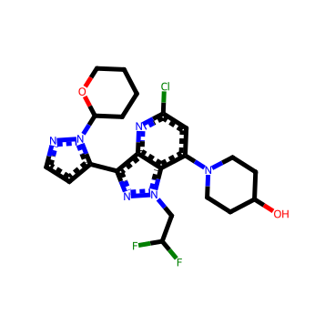 OC1CCN(c2cc(Cl)nc3c(-c4ccnn4C4CCCCO4)nn(CC(F)F)c23)CC1